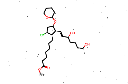 CCCOC(=O)CCCCCC[C@@H]1[C@H](C=C[C@@H](O)CCC[C@@H](C)O)[C@H](OC2CCCCO2)C[C@@H]1Cl